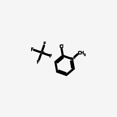 C[n+]1ccccc1Cl.F[B-](F)(F)F